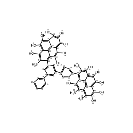 Bc1c(O)c2c(O)c(O)c3c(O)c(O)c(O)c4c(O)c(C)c(c1-c1cc(-c5ccccc5)cc(-c5ccc(-c6c(B)c(O)c7c(O)c(O)c8c(O)c(O)c(B)c9c(B)c(O)c6c7c98)cc5)c1)c2c43